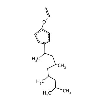 CC(C)CC(C)CC(C)CC(C)c1ccc(OP=S)cc1